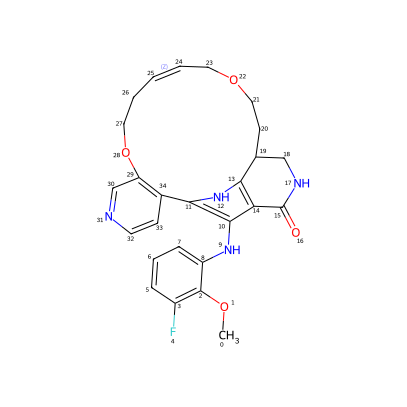 COc1c(F)cccc1Nc1c2[nH]c3c1C(=O)NCC3CCOC/C=C\CCOc1cnccc1-2